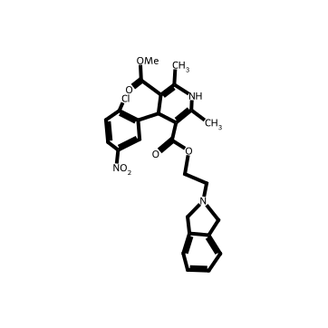 COC(=O)C1=C(C)NC(C)=C(C(=O)OCCN2Cc3ccccc3C2)C1c1cc([N+](=O)[O-])ccc1Cl